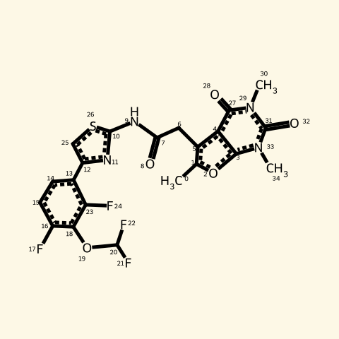 Cc1oc2c(c1CC(=O)Nc1nc(-c3ccc(F)c(OC(F)F)c3F)cs1)c(=O)n(C)c(=O)n2C